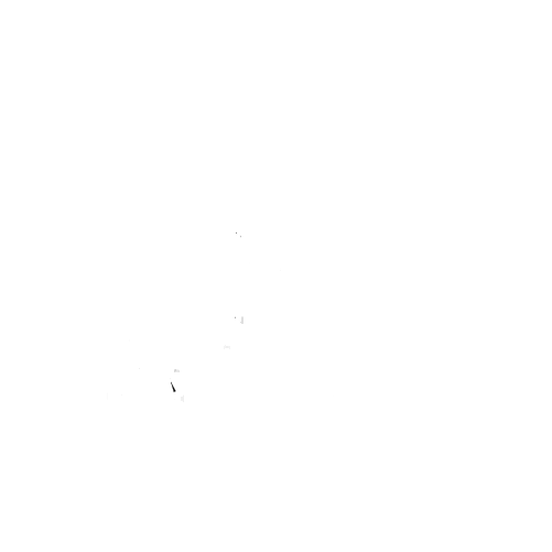 O=C(N[C@H](Cc1ccc(-c2cccc(Cl)c2)cc1)C[C@@H](O)C(=O)O)C(=O)N1CCC(CO)CC1